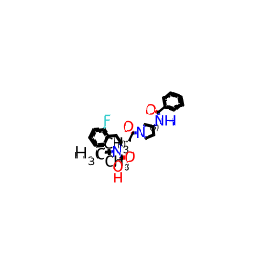 CC(C)(C)N(C(=O)O)[C@@H](CC(=O)N1CC[C@H](NC(=O)c2ccccc2)C1)Cc1ccccc1F